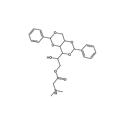 C[SiH](C)CC(=O)OCC(O)C1OC(c2ccccc2)OC2COC(c3ccccc3)OC21